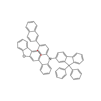 c1ccc(C2(c3ccccc3)c3ccccc3-c3ccc(N(c4ccc(-c5ccc6ccccc6c5)cc4)c4ccccc4-c4ccc5c(c4)oc4ccccc45)cc32)cc1